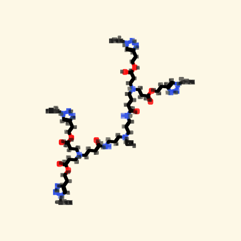 CCCCCCn1cc(CCOC(=O)CCN(CCCC(=O)NCCCN(C)CCCNC(=O)CCCN(CCC(=O)OCCc2cn(CCCCCC)nn2)CCC(=O)OCCc2cn(CCCCCC)nn2)CCC(=O)OCCc2cn(CCCCCC)nn2)nn1